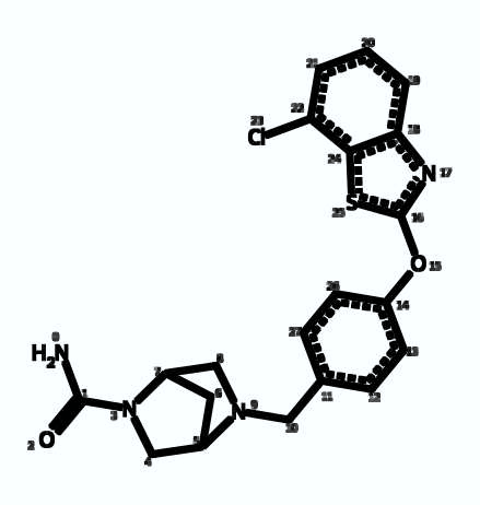 NC(=O)N1CC2CC1CN2Cc1ccc(Oc2nc3cccc(Cl)c3s2)cc1